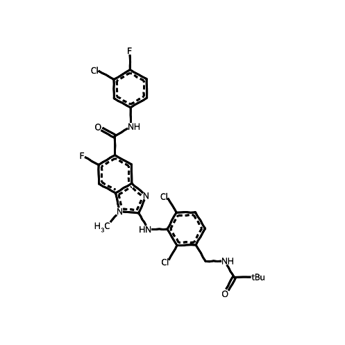 Cn1c(Nc2c(Cl)ccc(CNC(=O)C(C)(C)C)c2Cl)nc2cc(C(=O)Nc3ccc(F)c(Cl)c3)c(F)cc21